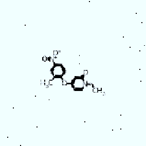 CCn1ccc(Oc2ccc([N+](=O)[O-])cc2C)cc1=O